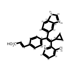 O=C(O)C=Cc1ccc(C(=C(c2ncccc2Cl)C2CC2)c2ccc3scnc3c2)cc1